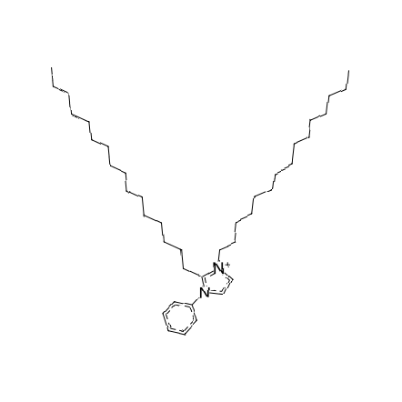 CCCCCCCCCCCCCCCCc1n(-c2ccccc2)cc[n+]1CCCCCCCCCCCCCCC